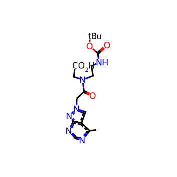 Cc1ncnc2nn(CC(=O)N(CCNC(=O)OC(C)(C)C)CC(=O)O)cc12